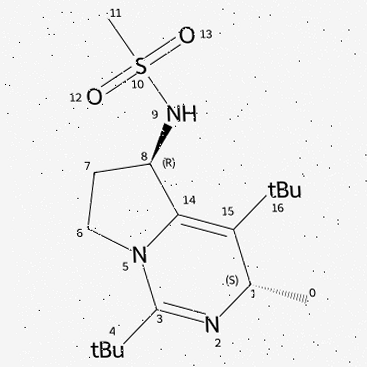 C[C@@H]1N=C(C(C)(C)C)N2CC[C@@H](NS(C)(=O)=O)C2=C1C(C)(C)C